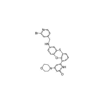 O=c1cc(N2CCOCC2)cc(-c2cccc3c2Oc2ccc(NCc4ccnc(Br)c4)cc2S3)[nH]1